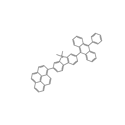 C[Si]1(C)c2cc(-c3c4ccccc4c(-c4ccccc4)c4ccccc34)ccc2-c2ccc(-c3ccc4ccc5cccc6ccc3c4c56)cc21